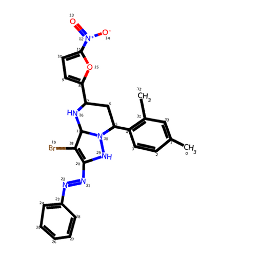 Cc1ccc(C2CC(c3ccc([N+](=O)[O-])o3)NC3C(Br)=C(N=Nc4ccccc4)NN32)c(C)c1